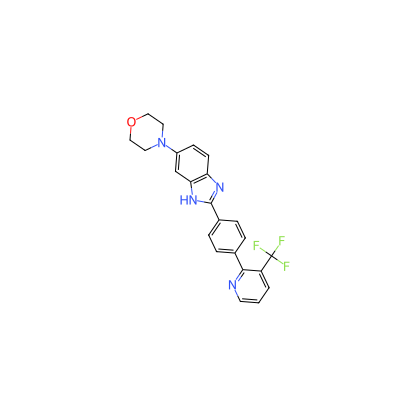 FC(F)(F)c1cccnc1-c1ccc(-c2nc3ccc(N4CCOCC4)cc3[nH]2)cc1